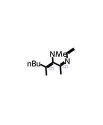 C=C/N=C(C)\C(NC)=C(/C)CCCC